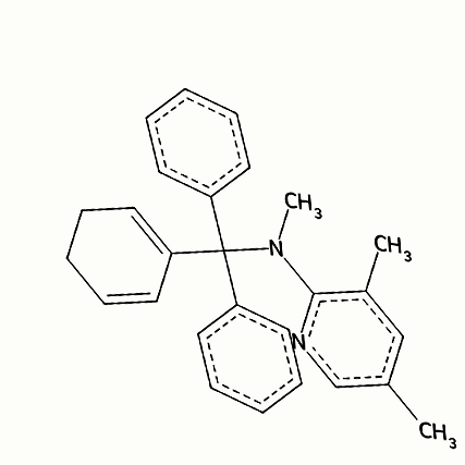 Cc1cnc(N(C)C(C2=CCCC=C2)(c2ccccc2)c2ccccc2)c(C)c1